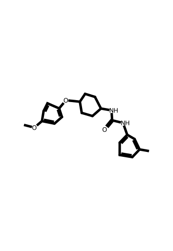 COc1ccc(OC2CCC(NC(=O)Nc3cccc(C)c3)CC2)cc1